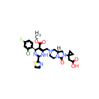 COC(=O)C1=C(CN2CCN3C(=O)N(C4(CC(=O)O)CC4)C[C@@H]3C2)NC(c2nccs2)=N[C@H]1c1ccc(F)cc1Cl